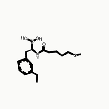 CCc1cccc(C[C@H](NC(=O)CCCCSC)B(O)O)c1